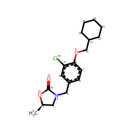 C[C@@H]1CN(Cc2ccc(OCC3CCCCC3)c(Cl)c2)C(=O)O1